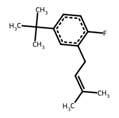 CC(C)=CCc1cc(C(C)(C)C)ccc1F